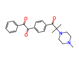 CN1CCN(C(C)(C)C(=O)c2ccc(C(=O)C(=O)c3ccccc3)cc2)CC1